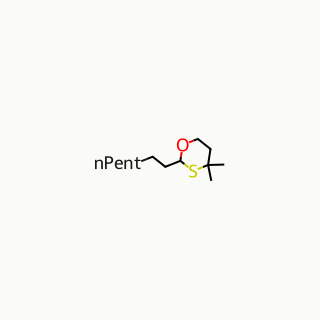 CCCCCCCC1OCCC(C)(C)S1